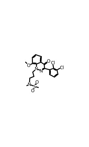 COc1cccc2c(=O)c(-c3cccc(Cl)c3Cl)nn(CCCN(C)S(C)(=O)=O)c12